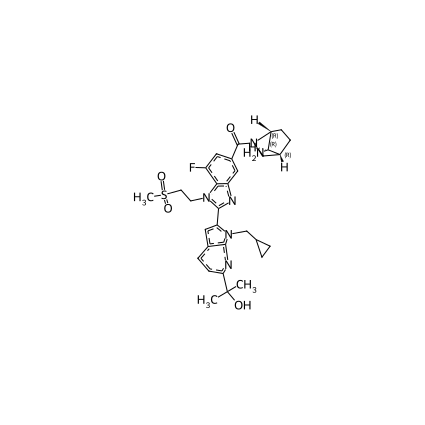 CC(C)(O)c1ccc2cc(-c3nc4cc(C(=O)N5C[C@H]6CC[C@@H]5[C@@H]6N)cc(F)c4n3CCS(C)(=O)=O)n(CC3CC3)c2n1